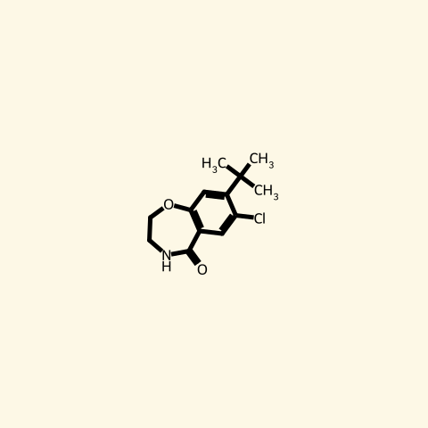 CC(C)(C)c1cc2c(cc1Cl)C(=O)NCCO2